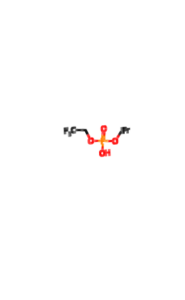 CC(C)OP(=O)(O)OCC(F)(F)F